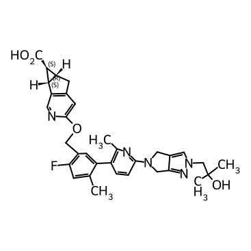 Cc1cc(F)c(COc2cc3c(cn2)[C@H]2[C@@H](C3)[C@@H]2C(=O)O)cc1-c1ccc(N2Cc3cn(CC(C)(C)O)nc3C2)nc1C